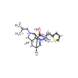 CC(C)C[C@@H]1[C@@H]2C=N[C@@]3(C(=O)NCc4cccs4)[C@@H](C2)CN(CC(C)C)[C@@H]13